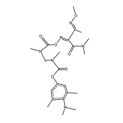 CON=C(C)C(=NOC(=O)N(C)SN(C)C(=O)Oc1cc(C)c(N(C)C)c(C)c1)C(=O)N(C)C